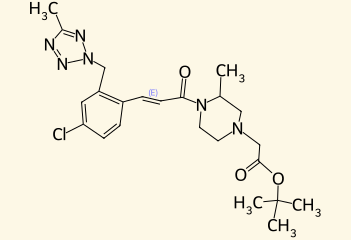 Cc1nnn(Cc2cc(Cl)ccc2/C=C/C(=O)N2CCN(CC(=O)OC(C)(C)C)CC2C)n1